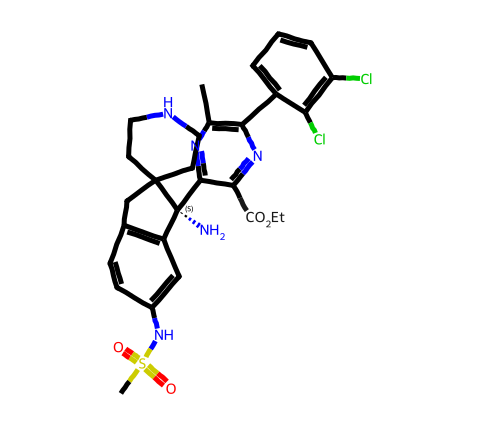 CCOC(=O)c1nc(-c2cccc(Cl)c2Cl)c(C)nc1[C@@]1(N)c2cc(NS(C)(=O)=O)ccc2CC12CCNCC2